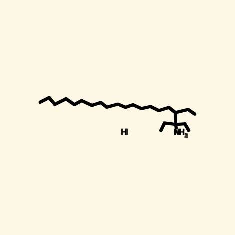 CCCCCCCCCCCCCCCCC(CC)C(N)(CC)CC.I